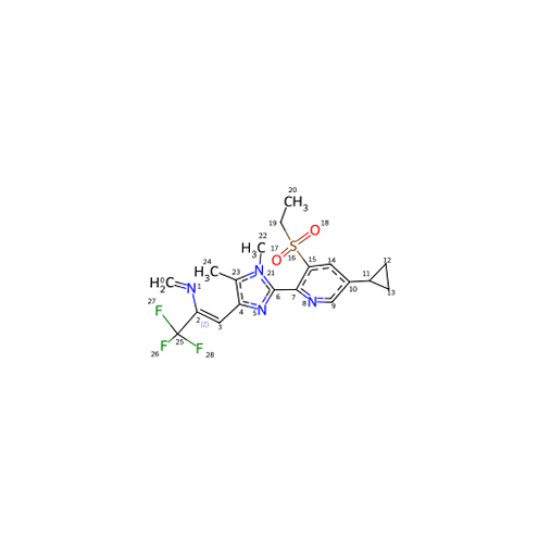 C=N/C(=C\c1nc(-c2ncc(C3CC3)cc2S(=O)(=O)CC)n(C)c1C)C(F)(F)F